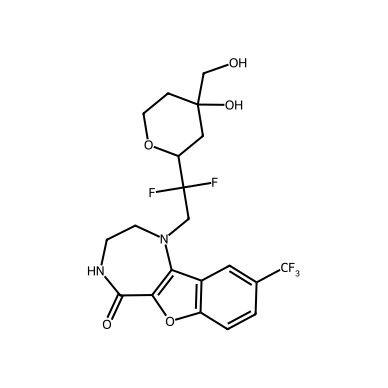 O=C1NCCN(CC(F)(F)C2CC(O)(CO)CCO2)c2c1oc1ccc(C(F)(F)F)cc21